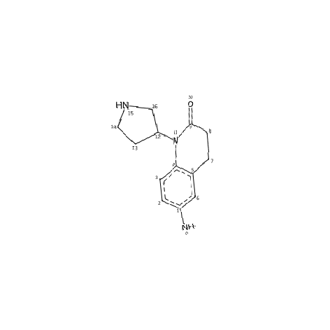 [NH]c1ccc2c(c1)CCC(=O)N2C1CCNC1